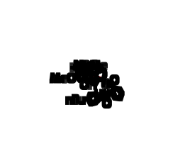 CCCCc1ccc(C(=O)Nc2ccccc2C(=O)O[C@@]23CC[C@H](OC)C45C2CC(N4CC3)[C@@]2(O)C[C@H](OC)[C@H]3CC5[C@]2(O)[C@H]3OC)cc1